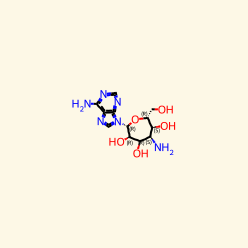 Nc1ncnc2c1ncn2[C@@H]1O[C@H](CO)[C@@H](O)[C@@H](N)[C@@H](O)[C@H]1O